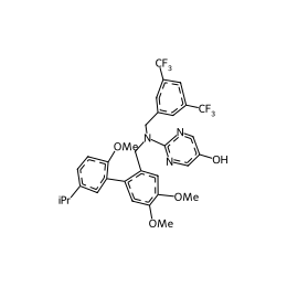 COc1cc(CN(Cc2cc(C(F)(F)F)cc(C(F)(F)F)c2)c2ncc(O)cn2)c(-c2cc(C(C)C)ccc2OC)cc1OC